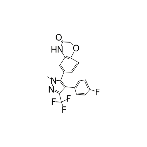 Cn1nc(C(F)(F)F)c(-c2ccc(F)cc2)c1-c1ccc2c(c1)NC(=O)CO2